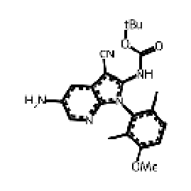 COc1ccc(C)c(-n2c(NC(=O)OC(C)(C)C)c(C#N)c3cc(N)cnc32)c1C